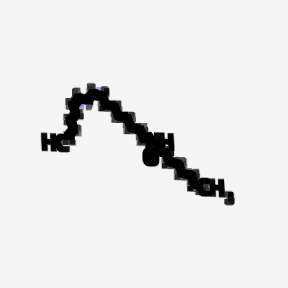 C#CCCC/C=C\C/C=C\CCCCCCCNC(=O)CCCCCCC